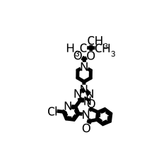 CC(C)(C)OC(=O)N1CCC(n2nnc(-c3nc(Cl)ccc3N3C(=O)c4ccccc4C3=O)n2)CC1